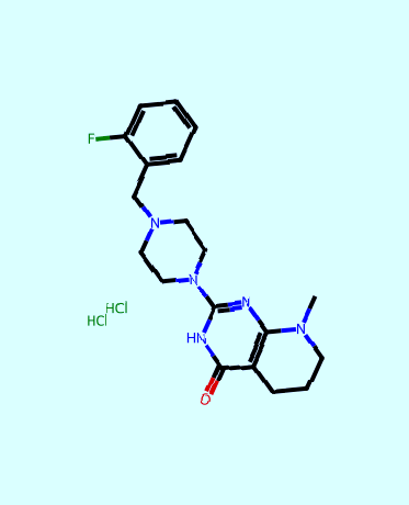 CN1CCCc2c1nc(N1CCN(Cc3ccccc3F)CC1)[nH]c2=O.Cl.Cl